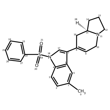 Cc1ccc2c(c1)c(C1=CCN3CCC[C@@H]3C1)cn2S(=O)(=O)c1ccccc1